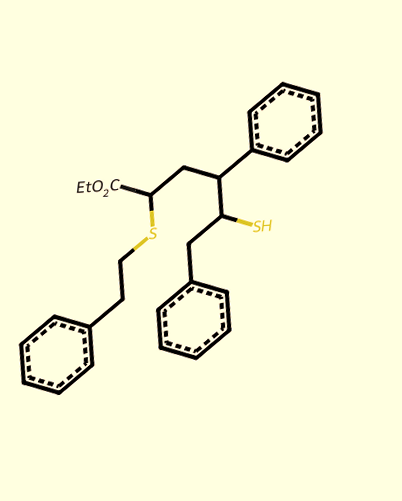 CCOC(=O)C(CC(c1ccccc1)C(S)Cc1ccccc1)SCCc1ccccc1